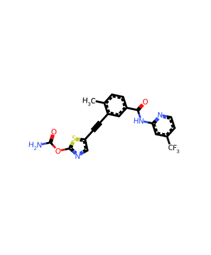 Cc1ccc(C(=O)Nc2cc(C(F)(F)F)ccn2)cc1C#Cc1cnc(OC(N)=O)s1